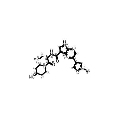 CCn1cc(-c2cnc3[nH]cc(C(=O)N[C@@H](CC(F)(F)F)C(=O)N4CCC(C#N)CC4)c3n2)cn1